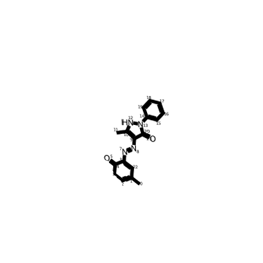 CC1=CCC(=O)C(N=Nc2c(C)[nH]n(-c3ccccc3)c2=O)=C1